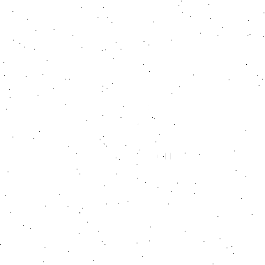 Cc1noc(O)c1Cl